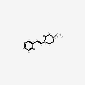 CN1CCN(C=Cc2ccccc2)CC1